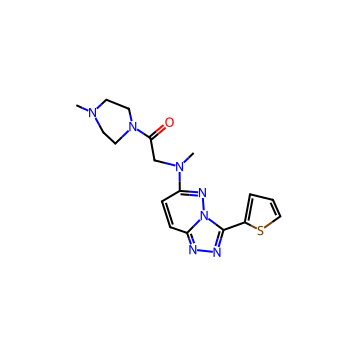 CN1CCN(C(=O)CN(C)c2ccc3nnc(-c4cccs4)n3n2)CC1